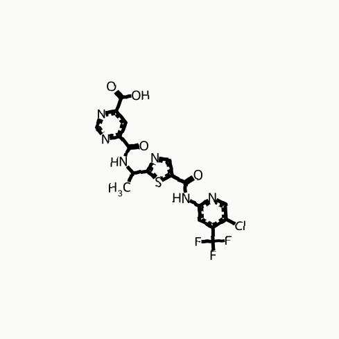 CC(NC(=O)c1cc(C(=O)O)ncn1)c1ncc(C(=O)Nc2cc(C(F)(F)F)c(Cl)cn2)s1